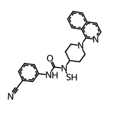 N#Cc1cccc(NC(=O)N(S)C2CCN(c3nccc4ccccc34)CC2)c1